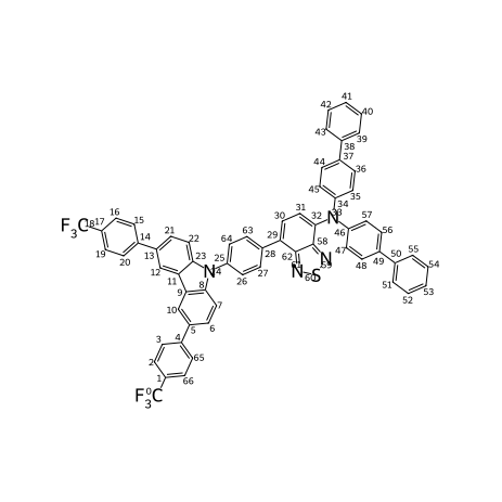 FC(F)(F)c1ccc(-c2ccc3c(c2)c2cc(-c4ccc(C(F)(F)F)cc4)ccc2n3-c2ccc(-c3ccc(N(c4ccc(-c5ccccc5)cc4)c4ccc(-c5ccccc5)cc4)c4nsnc34)cc2)cc1